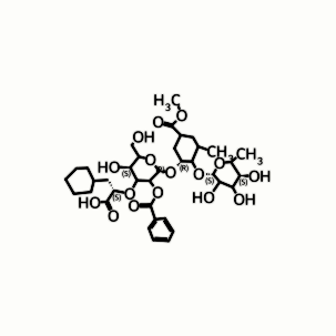 COC(=O)C1CC(C)C(O[C@@H]2OC(C)[C@@H](O)C(O)C2O)[C@H](O[C@@H]2OC(CO)[C@H](O)C(O[C@@H](CC3CCCCC3)C(=O)O)C2OC(=O)c2ccccc2)C1